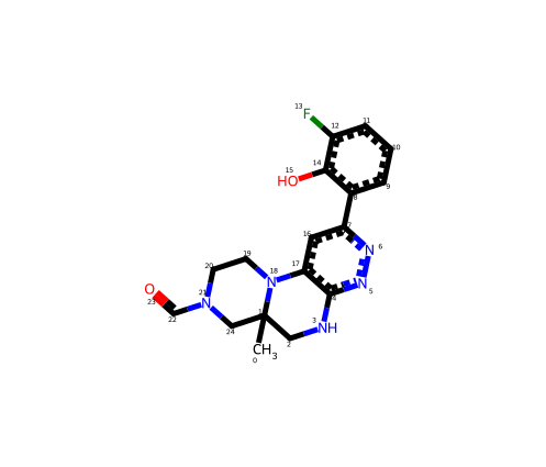 CC12CNc3nnc(-c4cccc(F)c4O)cc3N1CCN(C=O)C2